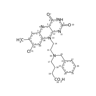 Cc1cc2nc3c(=O)[nH]c(=O)nc-3n(CCN(CCCC(=O)O)Cc3ccccc3)c2cc1Cl